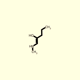 CCC/C(O)=C/NC